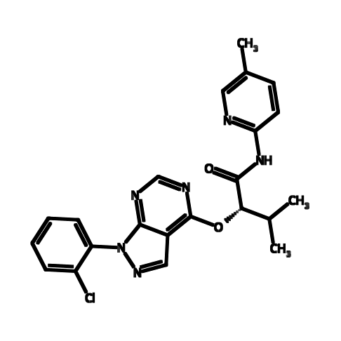 Cc1ccc(NC(=O)[C@@H](Oc2ncnc3c2cnn3-c2ccccc2Cl)C(C)C)nc1